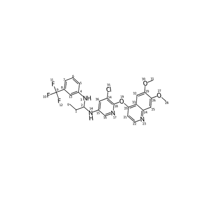 CCC(Nc1cccc(C(F)(F)F)c1)Nc1cnc(Oc2ccnc3cc(OC)c(OC)cc23)c(Cl)c1